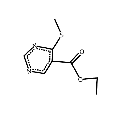 CCOC(=O)c1cncnc1SC